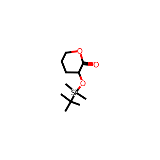 CC(C)(C)[Si](C)(C)OC1CCCOC1=O